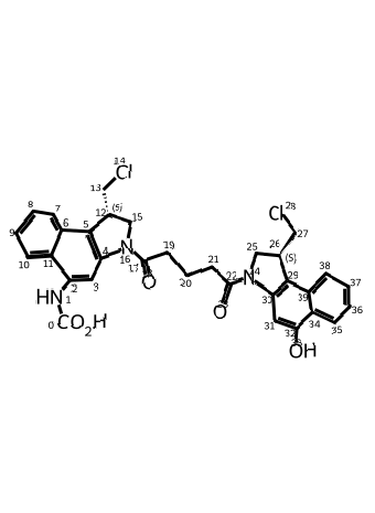 O=C(O)Nc1cc2c(c3ccccc13)[C@H](CCl)CN2C(=O)CCCC(=O)N1C[C@@H](CCl)c2c1cc(O)c1ccccc21